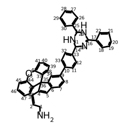 NC/C=C\C1=Cc2ccc(-c3ccc(C4N=C(c5ccccc5)NC(c5ccccc5)N4)cc3)cc2C12c1ccccc1Oc1ccccc12